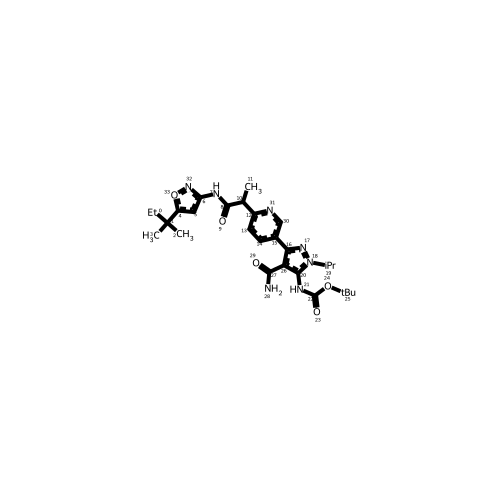 CCC(C)(C)c1cc(NC(=O)C(C)c2ccc(-c3nn(C(C)C)c(NC(=O)OC(C)(C)C)c3C(N)=O)cn2)no1